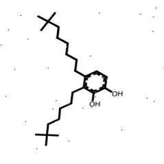 CC(C)(C)CCCCCCc1ccc(O)c(O)c1CCCCCC(C)(C)C